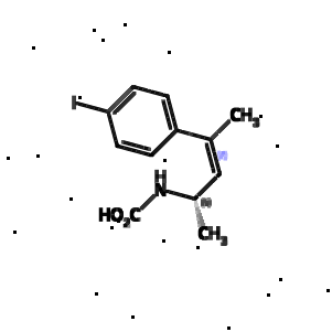 C/C(=C/[C@H](C)NC(=O)O)c1ccc(I)cc1